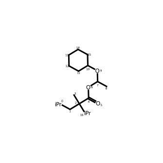 CC(C)CC(C)(C(=O)OC(C)OC1CCCCC1)C(C)C